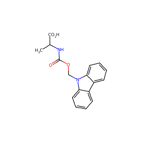 CC(NC(=O)OCn1c2ccccc2c2ccccc21)C(=O)O